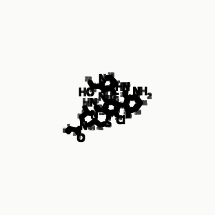 C=CC(=O)N1CC(C)N2C(=N)c3c(Nc4c(C)ccnc4C(C)O)c(F)c(-c4c(C)ccc(N)c4C=N)c(Cl)c3SCC2C1